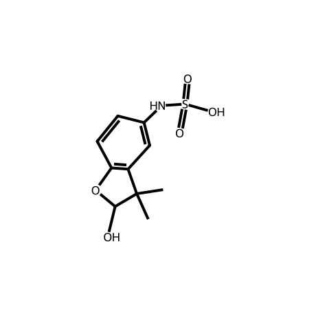 CC1(C)c2cc(NS(=O)(=O)O)ccc2OC1O